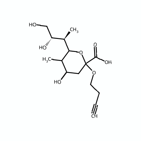 C#CCCOC1(C(=O)O)CC(O)C(C)C([C@H](C)[C@H](O)CO)O1